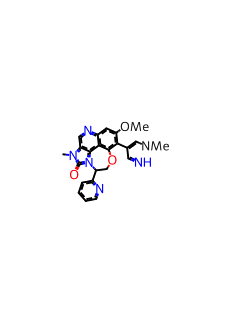 CN/C=C(\C=N)c1c(OC)cc2ncc3c4c2c1OCC(c1ccccn1)n4c(=O)n3C